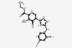 CCOC(=O)c1occ(-c2nnc(Cc3ccc(F)cc3F)s2)c(=O)c1O